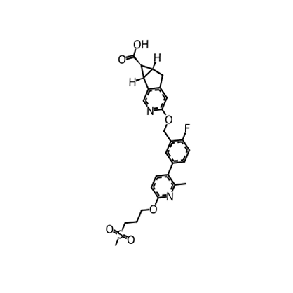 Cc1nc(OCCCS(C)(=O)=O)ccc1-c1ccc(F)c(COc2cc3c(cn2)[C@H]2[C@@H](C3)[C@@H]2C(=O)O)c1